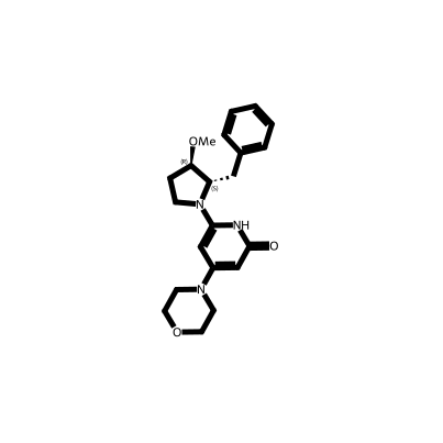 CO[C@@H]1CCN(c2cc(N3CCOCC3)cc(=O)[nH]2)[C@H]1Cc1ccccc1